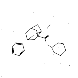 O=C(NC1CCCCC1)C12CC3C[C@](c4ccccc4)(C1)C[C@@]2(CF)C3